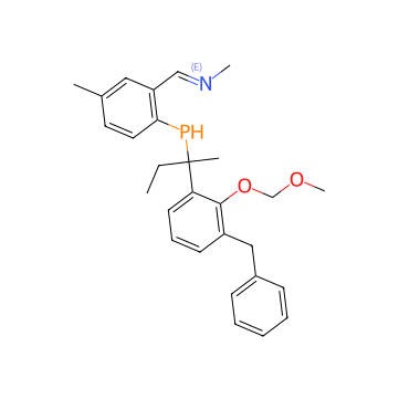 CCC(C)(Pc1ccc(C)cc1/C=N/C)c1cccc(Cc2ccccc2)c1OCOC